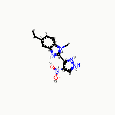 CCc1ccc2c(c1)nc(-c1n[nH]cc1[N+](=O)[O-])n2C